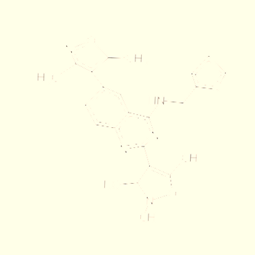 CC1=C(c2nc(NCc3cccs3)c3cc(-c4c(C)noc4C)ccc3n2)C(C)N(C)O1